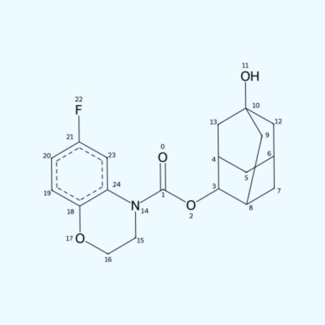 O=C(OC1C2CC3CC1CC(O)(C3)C2)N1CCOc2ccc(F)cc21